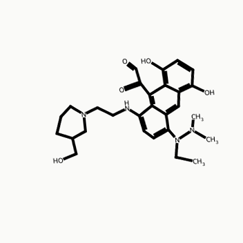 CCN(c1ccc(NCCN2CCCC(CO)C2)c2c(C(=O)C=O)c3c(O)ccc(O)c3cc12)N(C)C